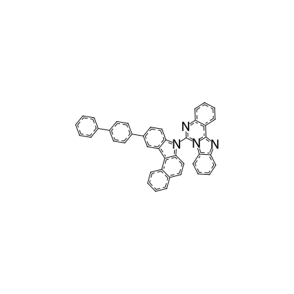 c1ccc(-c2ccc(-c3ccc4c(c3)c3c5ccccc5ccc3n4-c3nc4ccccc4c4nc5ccccc5n34)cc2)cc1